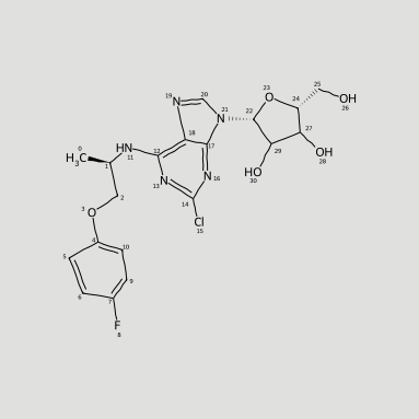 C[C@H](COc1ccc(F)cc1)Nc1nc(Cl)nc2c1ncn2[C@@H]1O[C@H](CO)C(O)C1O